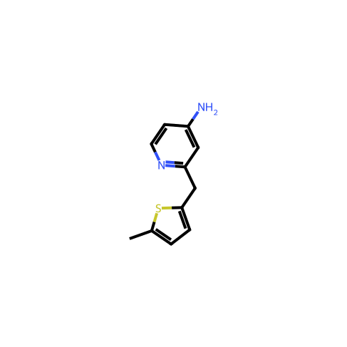 Cc1ccc(Cc2cc(N)ccn2)s1